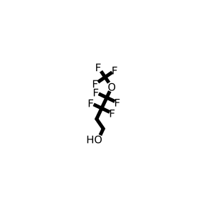 OCCC(F)(F)C(F)(F)OC(F)(F)F